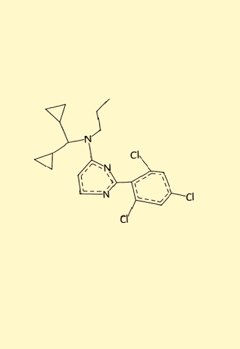 CCCN(c1ccnc(-c2c(Cl)cc(Cl)cc2Cl)n1)C(C1CC1)C1CC1